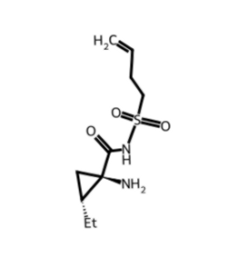 C=CCCS(=O)(=O)NC(=O)[C@@]1(N)C[C@H]1CC